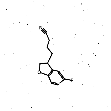 N#CCCCC1COc2ccc(F)cc21